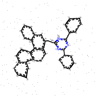 c1ccc(-c2nc(-c3ccccc3)nc(-c3cc4ccccc4c4c3ccc3c5ccccc5ccc34)n2)cc1